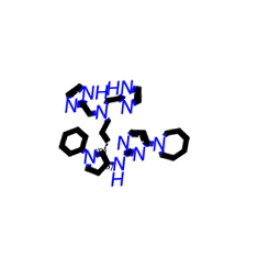 c1cc(N2CCCCCC2)nc(N[C@H]2CCN(C3CCCCC3)[C@@H]2CCCN(Cc2ncc[nH]2)Cc2ncc[nH]2)n1